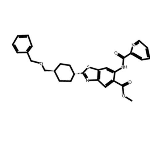 COC(=O)c1cc2nc([C@H]3CC[C@H](COCc4ccccc4)CC3)sc2cc1NC(=O)c1ccccn1